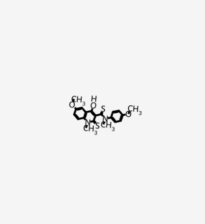 COc1ccc(N(C)C(=S)c2c(O)c3cc(OC)ccc3n(C)c2=S)cc1